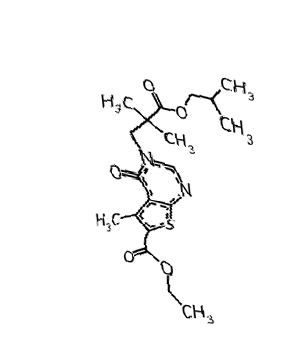 CCOC(=O)c1sc2ncn(CC(C)(C)C(=O)OCC(C)C)c(=O)c2c1C